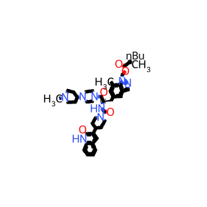 CCCCC(C)C(=O)OCn1ncc2cc(C[C@@H](NC(=O)N3CCC(c4cc5ccccc5[nH]c4=O)CC3)C(=O)N3CCN(C4CCN(C)CC4)CC3)cc(C)c21